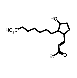 CCC(=O)C=CC1CCC(O)C1CCCCCCC(=O)O